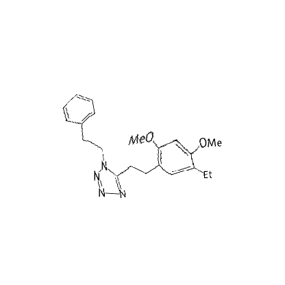 CCc1cc(CCc2nnnn2CCc2ccccc2)c(OC)cc1OC